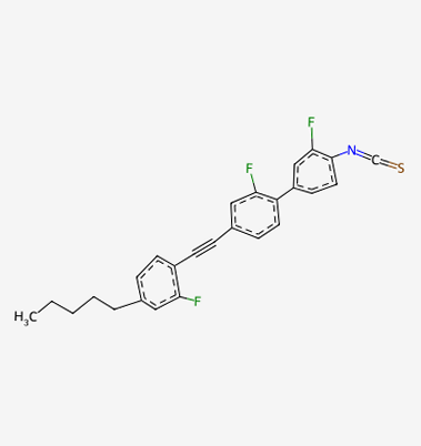 CCCCCc1ccc(C#Cc2ccc(-c3ccc(N=C=S)c(F)c3)c(F)c2)c(F)c1